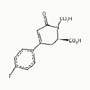 O=C(O)[C@H]1CC(c2ccc(F)cc2)=CC(=O)N1C(=O)O